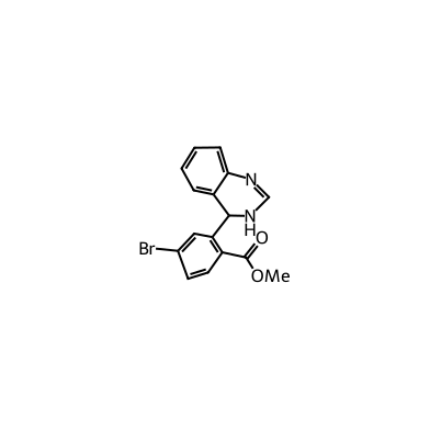 COC(=O)c1ccc(Br)cc1C1NC=Nc2ccccc21